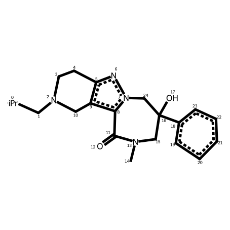 C[C](C)CN1CCc2nn3c(c2C1)C(=O)N(C)CC(O)(c1ccccc1)C3